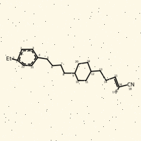 CCc1ccc(CCCCC2CCC(CCC=C(F)C#N)CC2)cc1